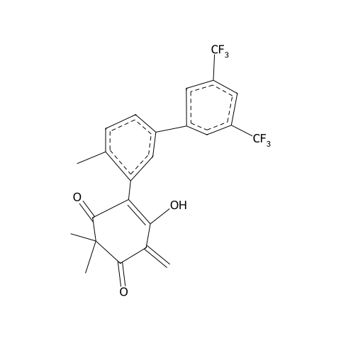 C=C1C(=O)C(C)(C)C(=O)C(c2cc(-c3cc(C(F)(F)F)cc(C(F)(F)F)c3)ccc2C)=C1O